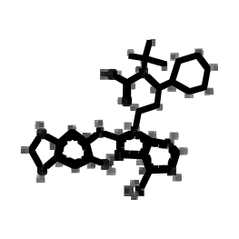 CC(C)(C)N(C(=O)O)C(CCn1c(Sc2cc3c(cc2Br)OCO3)nc2c(N)ncnc21)C1CCCCC1